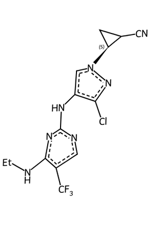 CCNc1nc(Nc2cn([C@H]3CC3C#N)nc2Cl)ncc1C(F)(F)F